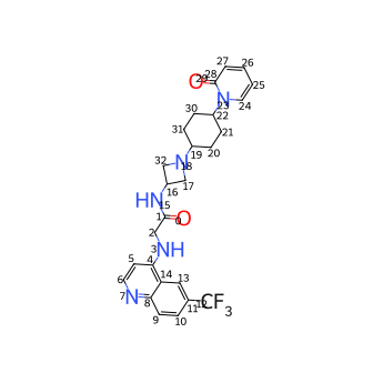 O=C(CNc1ccnc2ccc(C(F)(F)F)cc12)NC1CN(C2CCC(n3ccccc3=O)CC2)C1